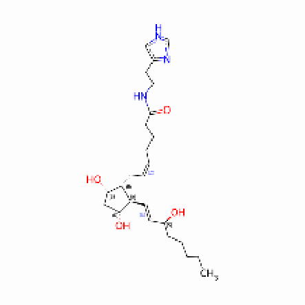 CCCCC[C@H](O)/C=C/[C@@H]1[C@@H](C/C=C\CCCC(=O)NCCc2c[nH]cn2)[C@@H](O)C[C@H]1O